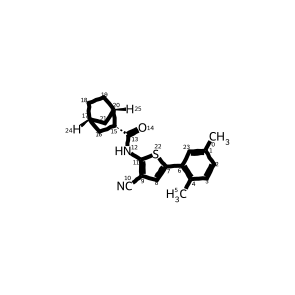 Cc1ccc(C)c(-c2cc(C#N)c(NC(=O)[C@@H]3C[C@@H]4CC[C@H]3C4)s2)c1